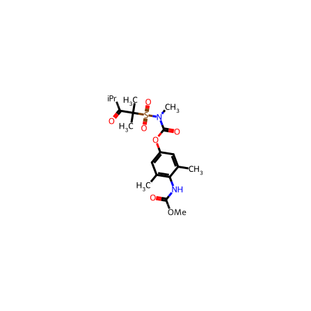 COC(=O)Nc1c(C)cc(OC(=O)N(C)S(=O)(=O)C(C)(C)C(=O)C(C)C)cc1C